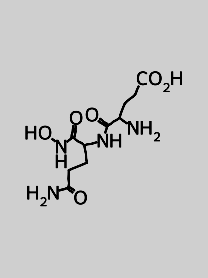 NC(=O)CCC(NC(=O)C(N)CCC(=O)O)C(=O)NO